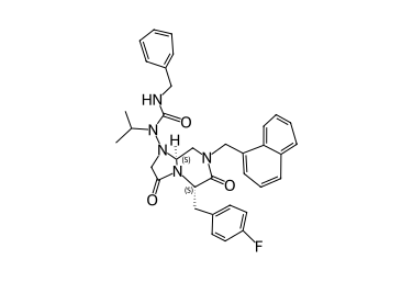 CC(C)N(C(=O)NCc1ccccc1)N1CC(=O)N2[C@@H](Cc3ccc(F)cc3)C(=O)N(Cc3cccc4ccccc34)C[C@@H]21